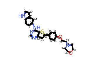 c1nc(Nc2ccc3[nH]ccc3c2)c2sc(-c3ccc(OCCN4CCOCC4)cc3)cc2n1